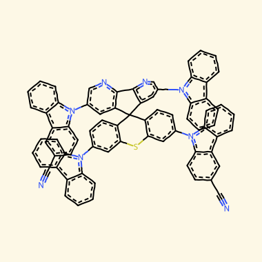 N#Cc1ccc2c(c1)c1ccccc1n2-c1ccc2c(c1)Sc1cc(-n3c4ccccc4c4ccccc43)ccc1C21c2cc(-n3c4ccccc4c4ccccc43)cnc2-c2ncc(-n3c4ccccc4c4cc(C#N)ccc43)cc21